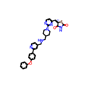 O=C1NC(=O)/C(=C\c2ccnc(N3CCC(CNCc4ccnc(-c5ccc(Oc6ccccc6)cc5)c4)CC3)n2)S1